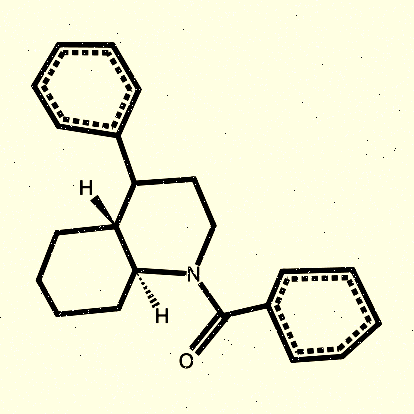 O=C(c1ccccc1)N1CCC(c2ccccc2)[C@H]2CCCC[C@@H]21